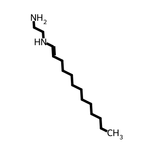 CCCCCCCCCCC/C=C/NCCN